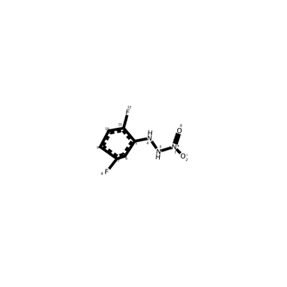 O=[N+]([O-])NNc1cc(F)ccc1F